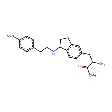 COC(=O)C(C)Cc1ccc2c(c1)CCC2NCCc1ccc(OC)cc1